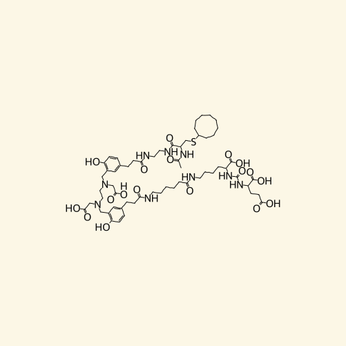 CC(=O)NC(CSC1CCCCCCCC1)C(=O)NCCNC(=O)CCc1ccc(O)c(CN(CCN(CC(=O)O)Cc2cc(CCC(=O)NCCCCCC(=O)NCCCCC(NC(=O)NC(CCC(=O)O)C(=O)O)C(=O)O)ccc2O)CC(=O)O)c1